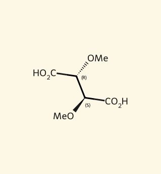 CO[C@H](C(=O)O)[C@@H](OC)C(=O)O